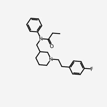 CCC(=O)N(CC1CCCN(CCc2ccc(F)cc2)C1)c1ccccc1